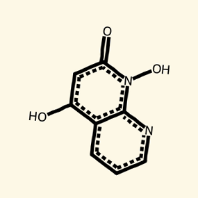 O=c1cc(O)c2cccnc2n1O